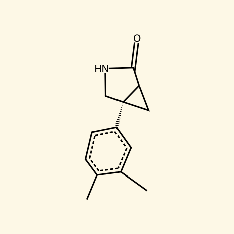 Cc1ccc([C@]23CNC(=O)C2C3)cc1C